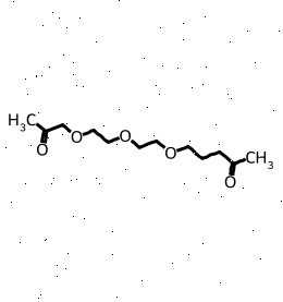 CC(=O)CCCOCCOCCOCC(C)=O